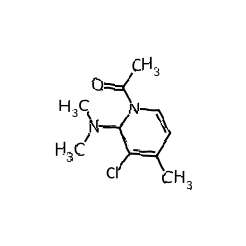 CC(=O)N1C=CC(C)=C(Cl)C1N(C)C